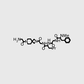 CNC(Cc1ccccc1)C(=O)NCC(=O)NC(CC(C)C)C(=O)NCC(=O)N1CC2(CCN(C(=O)CN)CC2)C1